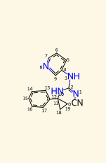 N#CN=C(Nc1cccnc1)NC1(c2ccccc2)CC1